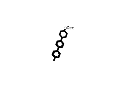 CCCCCCCCCCC1CCC(c2ccc(-c3ccc(C)cc3)cc2)CC1